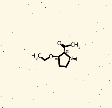 CCO[C@@H]1CCN(I)[C@@H]1C(C)=O